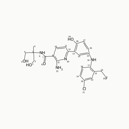 CC(CO)(CO)NC(=O)c1ccc(-c2cc(Nc3ccc(Cl)cc3CF)ccc2O)nc1N